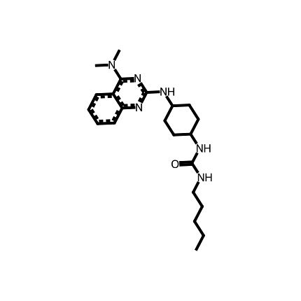 CCCCCNC(=O)NC1CCC(Nc2nc(N(C)C)c3ccccc3n2)CC1